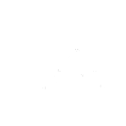 COC(=O)c1sc(-c2ccccc2)cc1N(C(=O)c1ccc(Cl)cc1Cl)C1CCN(C(=O)OC(C)(C)C)CC1